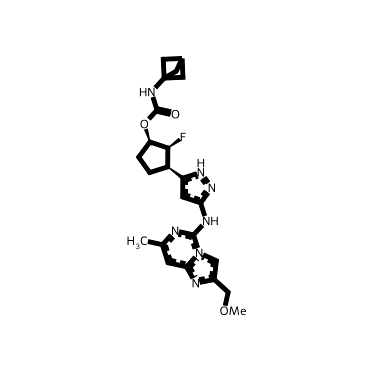 COCc1cn2c(Nc3cc([C@H]4CC[C@@H](OC(=O)NC56CC(C5)C6)[C@H]4F)[nH]n3)nc(C)cc2n1